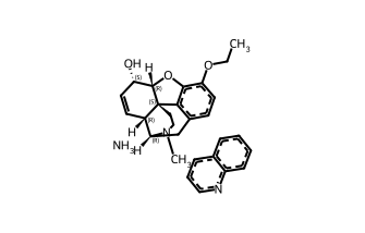 CCOc1ccc2c3c1O[C@H]1[C@@H](O)C=C[C@H]4[C@@H](C2)N(C)CC[C@@]341.N.c1ccc2ncccc2c1